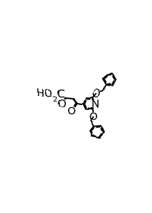 O=C(O)C(=O)CC(=O)c1cc(OCc2ccccc2)nc(OCc2ccccc2)c1